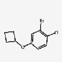 Clc1ccc(OC2CCC2)cc1Br